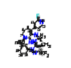 C=C(/N=C1\CN(CCCC)CCC[C@H]1c1ccnc(F)c1)Nc1c(C)c(C(F)(F)F)nn1-c1ccccc1